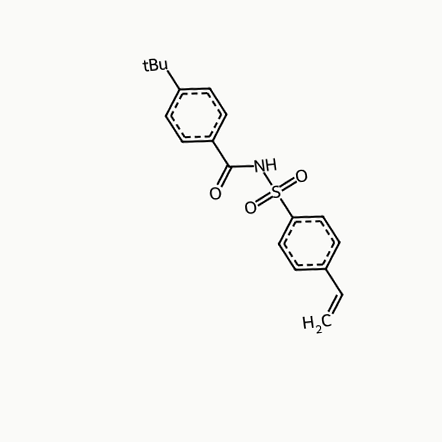 C=Cc1ccc(S(=O)(=O)NC(=O)c2ccc(C(C)(C)C)cc2)cc1